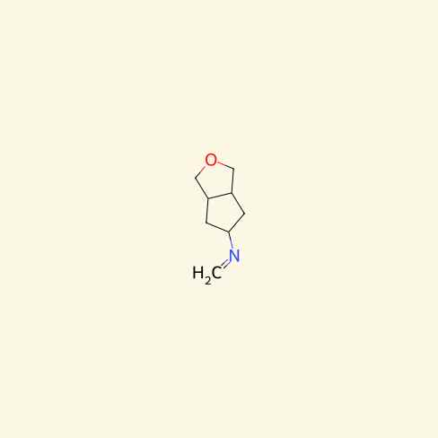 C=NC1CC2COCC2C1